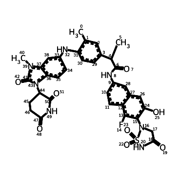 Cc1cc(C(C)C(=O)Nc2ccc3c(F)c(N4CC(=O)NS4(=O)=O)c(O)cc3c2)ccc1Nc1ccc2c(c1)n(C)c(=O)n2C1CCC(=O)NC1=O